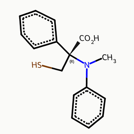 CN(c1ccccc1)[C@@](CS)(C(=O)O)c1ccccc1